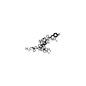 CCC(=O)OC[C@H]1O[C@@](C#N)(c2ccc3c(NC(=O)[C@@H](N)Cc4ccc(F)cc4)ncnn23)[C@@H]2OC(C)(C)O[C@@H]21